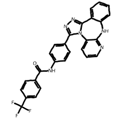 O=C(Nc1ccc(-c2nnc3n2-c2cccnc2Nc2ccccc2-3)cc1)c1ccc(C(F)(F)F)cc1